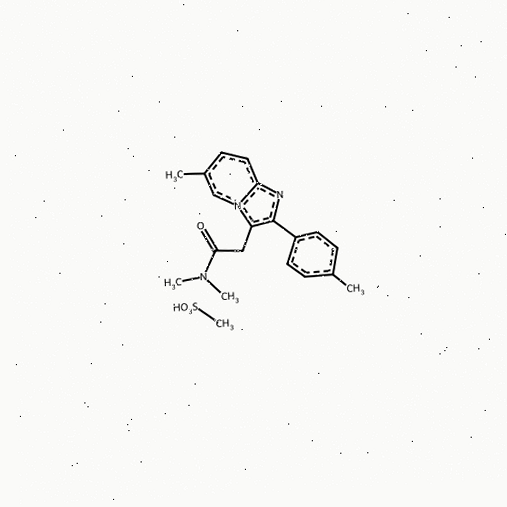 CS(=O)(=O)O.Cc1ccc(-c2nc3ccc(C)cn3c2CC(=O)N(C)C)cc1